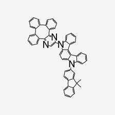 CC1(C)c2ccccc2-c2ccc(-n3c4ccccc4c4c5c6ccccc6n(-c6cnc7c(n6)-c6ccccc6-c6ccccc6-c6ccccc6-7)c5ccc43)cc21